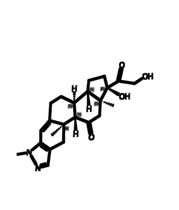 Cn1ncc2c1C=C1CC[C@@H]3[C@H](C(=O)C[C@@]4(C)[C@H]3CC[C@]4(O)C(=O)CO)[C@@]1(C)C2